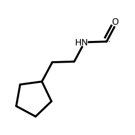 O=[C]NCCC1CCCC1